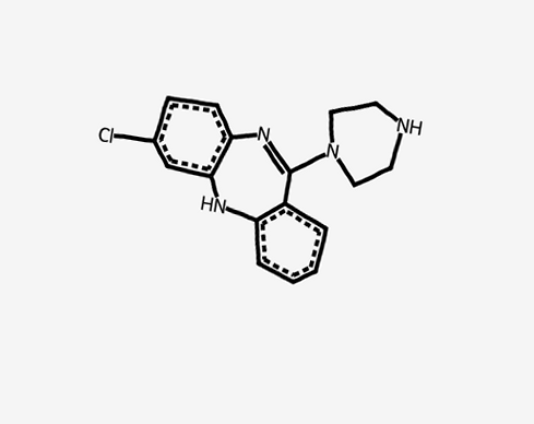 Clc1ccc2c(c1)Nc1ccccc1C(N1CCNCC1)=N2